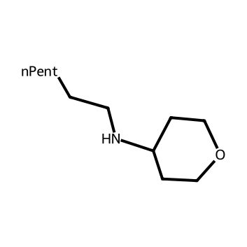 CCCCCCCNC1CCOCC1